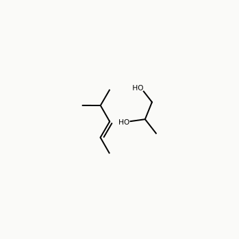 CC(O)CO.CC=CC(C)C